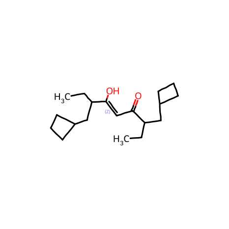 CCC(CC1CCC1)C(=O)/C=C(\O)C(CC)CC1CCC1